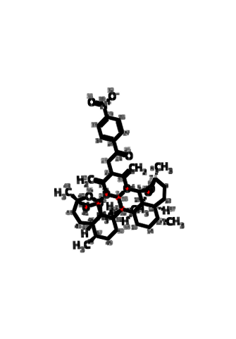 C=C(C[C@H]1OC2O[C@]3(C)CC[C@H]4[C@H](C)CC[C@@H]([C@H]1C)[C@@]24OO3)C(CC(=O)c1ccc([N+](=O)[O-])cc1)C(=C)C[C@H]1O[C@@H]2O[C@]3(C)CC[C@H]4[C@H](C)CC[C@@H]([C@H]1C)[C@@]24OO3